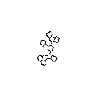 C1=Cc2cccc3cc4c(c(c23)C1)c1ccccc1n4-c1ccc(-c2cc3cccnc3c3ncccc23)c(-c2ccccn2)c1